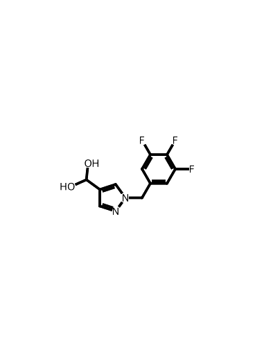 OC(O)c1cnn(Cc2cc(F)c(F)c(F)c2)c1